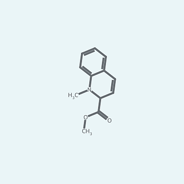 COC(=O)C1C=Cc2ccccc2N1C